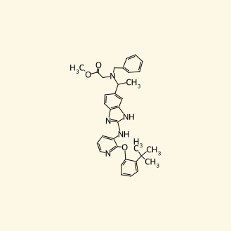 COC(=O)CN(Cc1ccccc1)C(C)c1ccc2nc(Nc3cccnc3Oc3ccccc3C(C)(C)C)[nH]c2c1